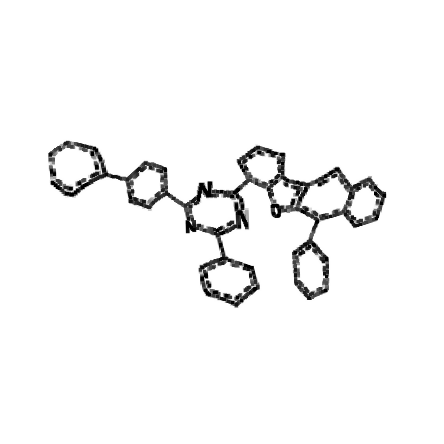 c1ccc(-c2ccc(-c3nc(-c4ccccc4)nc(-c4cccc5c4oc4c(-c6ccccc6)c6ccccc6cc45)n3)cc2)cc1